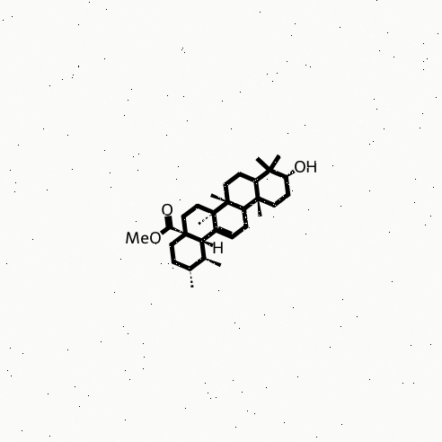 COC(=O)[C@]12CC[C@@H](C)[C@H](C)[C@H]1C1=CCC3[C@@]4(C)CC[C@H](O)C(C)(C)C4CC[C@@]3(C)[C@]1(C)CC2